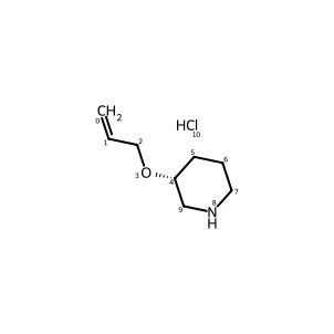 C=CCO[C@@H]1CCCNC1.Cl